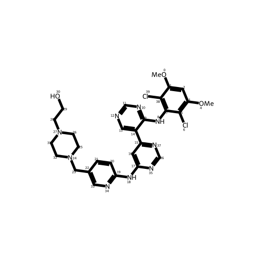 COc1cc(OC)c(Cl)c(Nc2ncncc2-c2cc(Nc3ccc(CN4CCN(CCO)CC4)cn3)ncn2)c1Cl